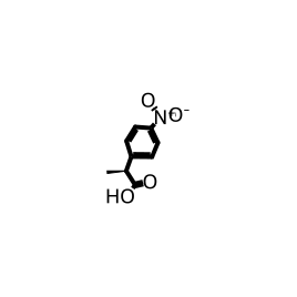 C[C@H](C(=O)O)c1ccc([N+](=O)[O-])cc1